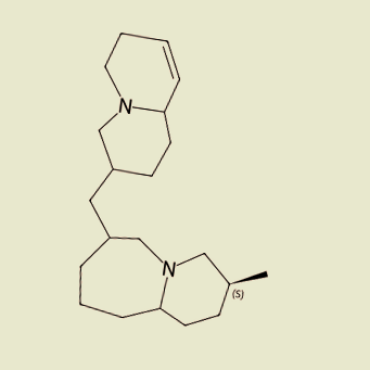 C[C@H]1CCC2CCCC(CC3CCC4C=CCCN4C3)CN2C1